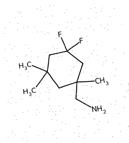 CC1(C)CC(F)(F)CC(C)(CN)C1